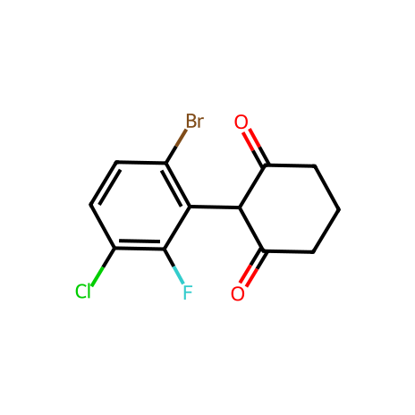 O=C1CCCC(=O)C1c1c(Br)ccc(Cl)c1F